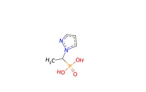 CC(n1cccn1)P(=O)(O)O